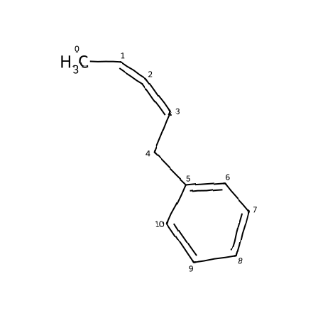 CC=C=[C]Cc1ccccc1